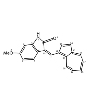 COc1ccc2c(c1)NC(=O)/C2=C\c1ccc2cccccc1-2